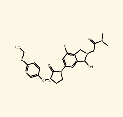 CN(C)C(=O)CN1Cc2c(F)cc(N3CC[C@@H](Oc4ccc(OCC(F)(F)F)nc4)C3=O)cc2C1O